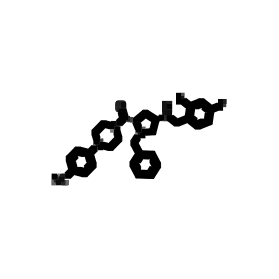 N#Cc1ccc(N2CCN(C(=O)[C@@H]3C[C@H](NCc4ccc(F)cc4F)CN3Cc3ccccc3)CC2)cc1